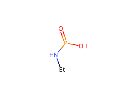 CCN[P](=O)O